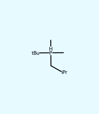 CC(C)C[PH](C)(C)C(C)(C)C